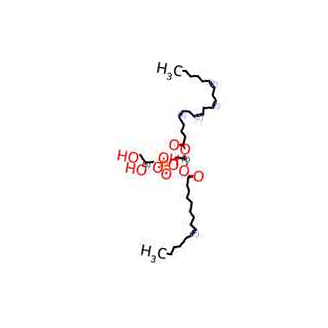 CCCCC/C=C\C/C=C\C/C=C\C/C=C\CCCC(=O)O[C@H](COC(=O)CCCCCCC/C=C\CCCCC)COP(=O)(O)OC[C@@H](O)CO